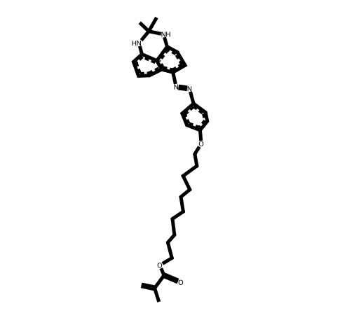 C=C(C)C(=O)OCCCCCCCCCCOc1ccc(/N=N/c2ccc3c4c(cccc24)NC(C)(C)N3)cc1